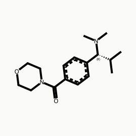 CC(C)[C@H](c1ccc(C(=O)N2CCOCC2)cc1)N(C)C